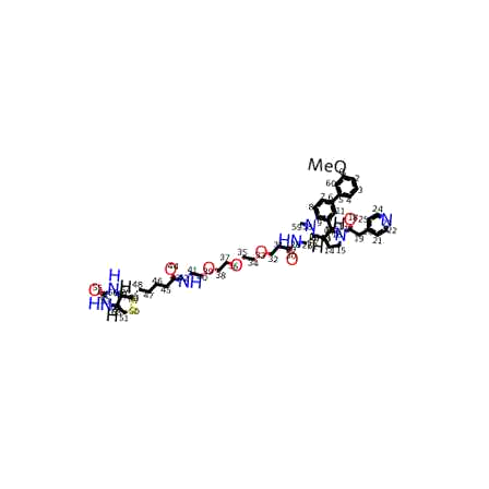 COc1cccc(-c2ccc3c(c2)[C@H]2[C@H](CCN2C(=O)Cc2ccncc2)[C@H](CNC(=O)CCOCCOCCOCCNC(=O)CCCC[C@@H]2SC[C@@H]4NC(=O)N[C@@H]42)N3C)c1